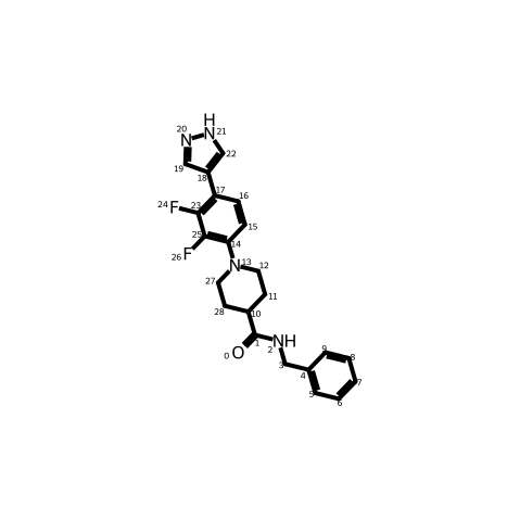 O=C(NCc1ccccc1)C1CCN(c2ccc(-c3cn[nH]c3)c(F)c2F)CC1